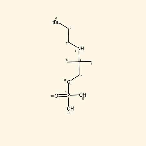 CC(C)(C)CCNC(C)(C)COP(=O)(O)O